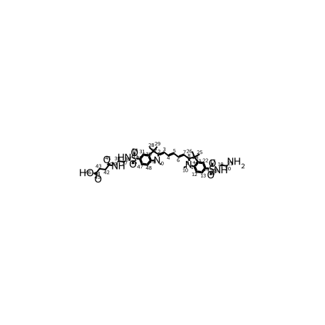 CN1\C(=C/C=C/C=C/C2=[N+](C)c3ccc(S(=O)(=O)NCCN)cc3C2(C)C)C(C)(C)c2cc(S(=O)(=O)NCCNC(=O)CCC(=O)O)ccc21